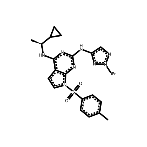 Cc1ccc(S(=O)(=O)n2ccc3c(N[C@@H](C)C4CC4)nc(Nc4cnn(C(C)C)n4)nc32)cc1